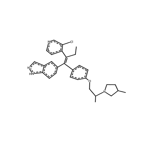 CCC(=C(c1ccc(OCC(C)N2CCC(C)C2)cc1)c1ccc2[nH]ncc2c1)c1ccncc1Cl